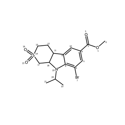 COC(=O)c1cc(Br)c2c(c1)C1CCS(=O)(=O)CC1N2C(C)C